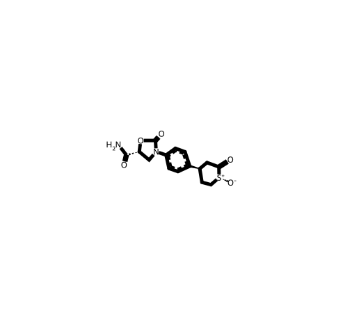 NC(=O)[C@H]1CN(c2ccc([C@@H]3CC[S@@+]([O-])C(=O)C3)cc2)C(=O)O1